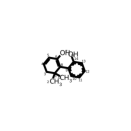 CC1(C)CC=CC(O)=C1c1ccccc1O